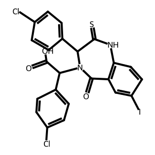 O=C(O)C(c1ccc(Cl)cc1)N1C(=O)c2cc(I)ccc2NC(=S)C1c1ccc(Cl)cc1